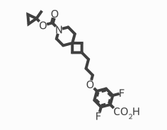 CC1(OC(=O)N2CCC3(CC2)CC(CCCOc2cc(F)c(C(=O)O)c(F)c2)C3)CC1